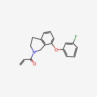 C=CC(=O)N1CCc2cccc(Oc3cccc(F)c3)c2C1